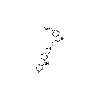 COc1ccc2[nH]cc(CCNCc3cccc(Nc4cccnc4)c3)c2c1